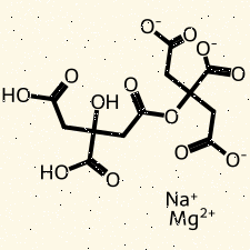 O=C([O-])CC(CC(=O)[O-])(OC(=O)CC(O)(CC(=O)O)C(=O)O)C(=O)[O-].[Mg+2].[Na+]